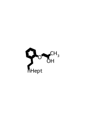 CCCCCCCCCc1ccccc1OC=C(C)O